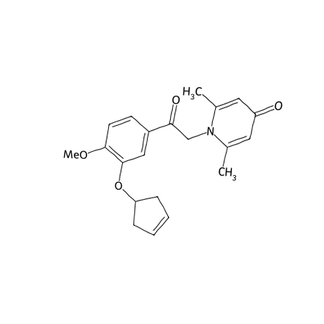 COc1ccc(C(=O)Cn2c(C)cc(=O)cc2C)cc1OC1CC=CC1